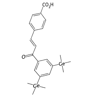 [CH3][Ge]([CH3])([CH3])[c]1cc(C(=O)C=Cc2ccc(C(=O)O)cc2)c[c]([Ge]([CH3])([CH3])[CH3])c1